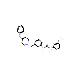 N#Cc1cccc(NC(=O)Nc2cccc(CN3CCC(Cc4ccccc4)CC3)c2)c1